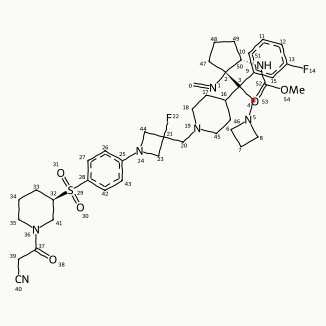 C=N[C@]1(C(CN2CCC2)(c2cccc(F)c2)C2CCN(CC3(F)CN(c4ccc(S(=O)(=O)[C@@H]5CCCN(C(=O)CC#N)C5)cc4)C3)CC2)CCC[C@@H]1NC(=O)OC